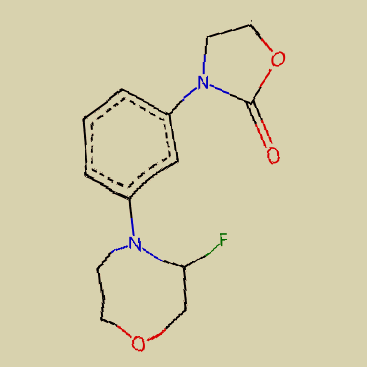 O=C1O[CH]CN1c1cccc(N2CCOCC2F)c1